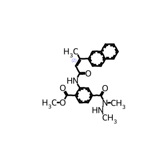 CNN(C)C(=O)c1ccc(C(=O)OC)c(NC(=O)/C=C(/C)c2ccc3ccccc3c2)c1